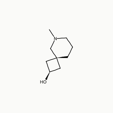 CN1CCC[C@]2(C1)C[C@H](O)C2